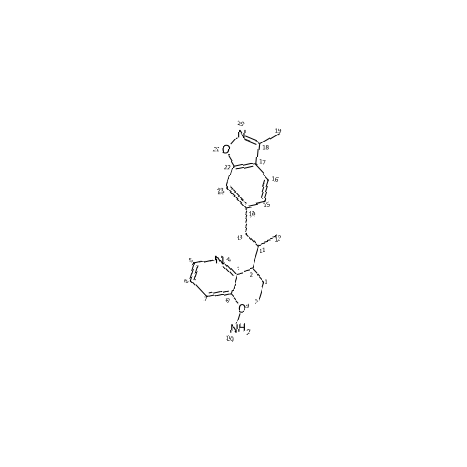 CCC(c1ncccc1ON)C(C)Cc1ccc2c(C)noc2c1